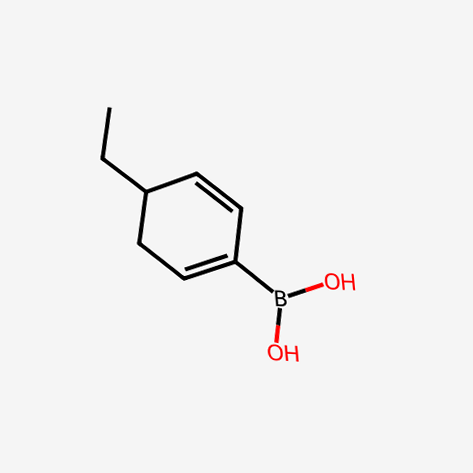 CCC1C=CC(B(O)O)=CC1